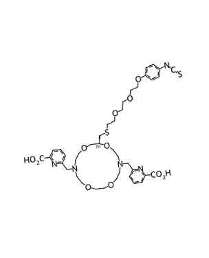 O=C(O)c1cccc(CN2CCOCCOCCN(Cc3cccc(C(=O)O)n3)CCO[C@H](CSCCOCCOCCOc3ccc(N=C=S)cc3)COCC2)n1